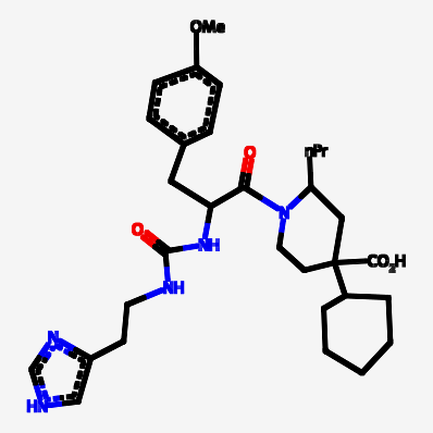 CCCC1CC(C(=O)O)(C2CCCCC2)CCN1C(=O)C(Cc1ccc(OC)cc1)NC(=O)NCCc1c[nH]cn1